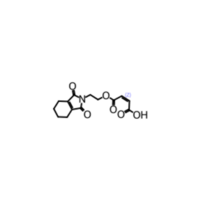 O=C(O)/C=C\C(=O)OCCN1C(=O)C2=C(CCCC2)C1=O